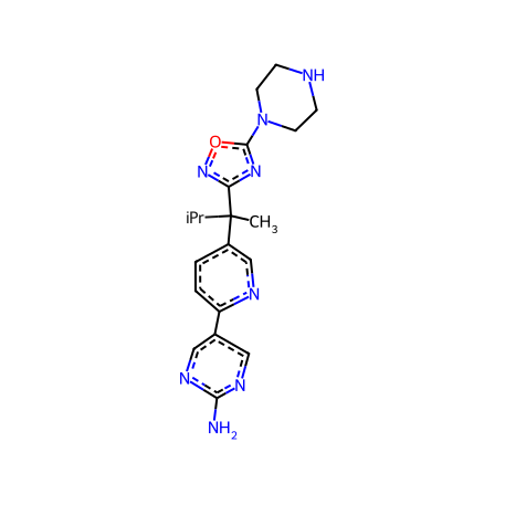 CC(C)C(C)(c1ccc(-c2cnc(N)nc2)nc1)c1noc(N2CCNCC2)n1